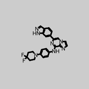 FC1(F)CCN(c2ccc(Nc3nc(-c4ccc5cn[nH]c5c4)cn4ccnc34)cc2)CC1